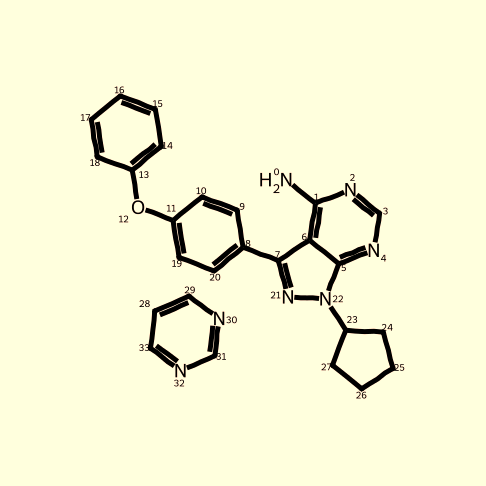 Nc1ncnc2c1c(-c1ccc(Oc3ccccc3)cc1)nn2C1CCCC1.c1cncnc1